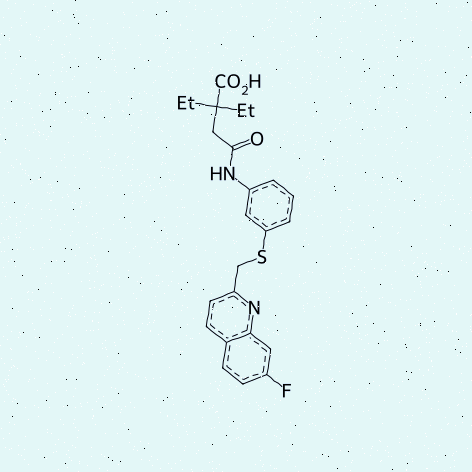 CCC(CC)(CC(=O)Nc1cccc(SCc2ccc3ccc(F)cc3n2)c1)C(=O)O